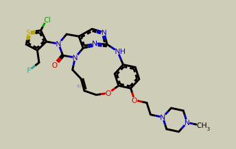 CN1CCN(CCOc2ccc3cc2OC/C=C/CN2C(=O)N(c4c(CF)csc4Cl)Cc4cnc(nc42)N3)CC1